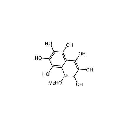 OC1=C(O)C(O)N(O)c2c(O)c(O)c(O)c(O)c21.[Mo]